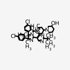 CCOc1nc(C(C)(C)C)ncc1C1=N[C@@](C)(c2ccc(Cl)cc2)[C@@](C)(c2ccc(Cl)cc2)N1C(=O)N1CCC(N2CCCC(O)C2)CC1